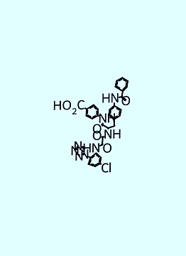 O=C(Nc1cc(Cl)ccc1-n1cnnn1)C(=O)NC(Cc1ccc(NC(=O)c2ccccc2)cc1)C(=O)Nc1ccc(C(=O)O)cc1